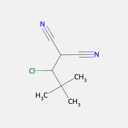 CC(C)(C)C(Cl)C(C#N)C#N